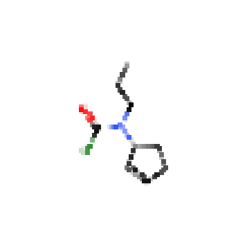 CCCN(C(=O)Cl)C1C=CCC1